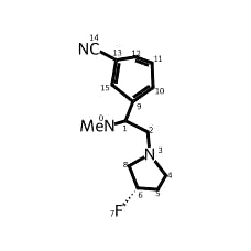 CNC(CN1CC[C@H](F)C1)c1cccc(C#N)c1